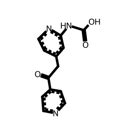 O=C(O)Nc1cc(CC(=O)c2ccncc2)ccn1